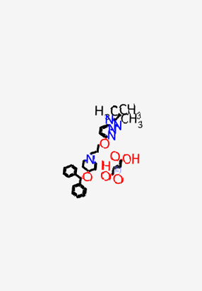 CC(C)(C)c1nc2ccc(OCCCN3CCC(OC(c4ccccc4)c4ccccc4)CC3)nn2n1.O=C(O)/C=C/C(=O)O